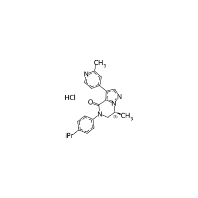 Cc1cc(-c2cnn3c2C(=O)N(c2ccc(C(C)C)cc2)C[C@@H]3C)ccn1.Cl